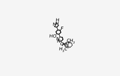 C[C@]12CCC[C@](C)(C[C@H](Oc3ccc(-c4cc(F)c(-c5cn[nH]c5)cc4O)nn3)C1)N2